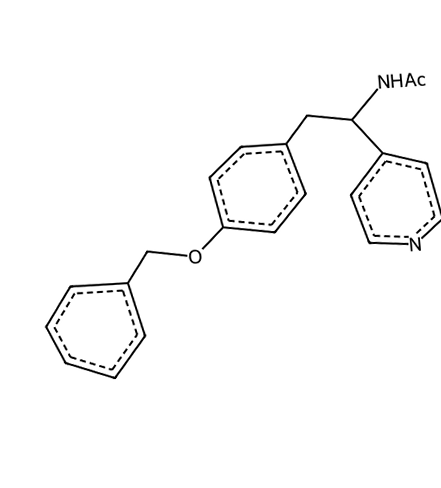 CC(=O)NC(Cc1ccc(OCc2ccccc2)cc1)c1ccncc1